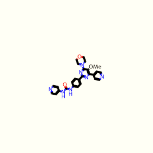 COc1c(-c2ccncc2)nc(-c2ccc(NC(=O)Nc3ccncc3)cc2)nc1N1CCOCC1